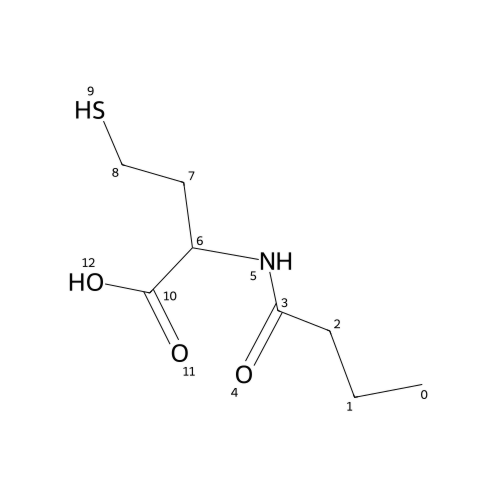 CCCC(=O)NC(CCS)C(=O)O